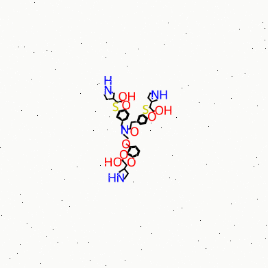 O=C(O)C(Oc1cccc(OCCN(Cc2cccc(SC(C(=O)O)C3CCNC3)c2)C(=O)Cc2cccc(SC(C(=O)O)C3CCNC3)c2)c1)C1CCNC1